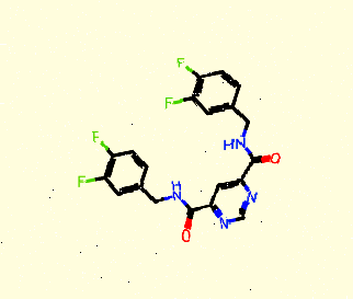 O=C(NCc1ccc(F)c(F)c1)c1cc(C(=O)NCc2ccc(F)c(F)c2)ncn1